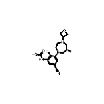 N#Cc1cc(NC(=O)O)c(Cl)c(N2CCN(C3COC3)CC(F)C2)c1